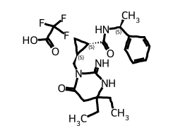 CCC1(CC)CC(=O)N(C[C@H]2C[C@@H]2C(=O)N[C@@H](C)c2ccccc2)C(=N)N1.O=C(O)C(F)(F)F